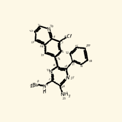 CC(C)(C)Nc1nc(-c2cc(Cl)c3ncccc3c2)c(-c2ccccc2)nc1N